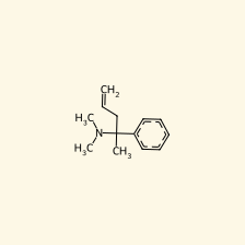 C=CCC(C)(c1ccccc1)N(C)C